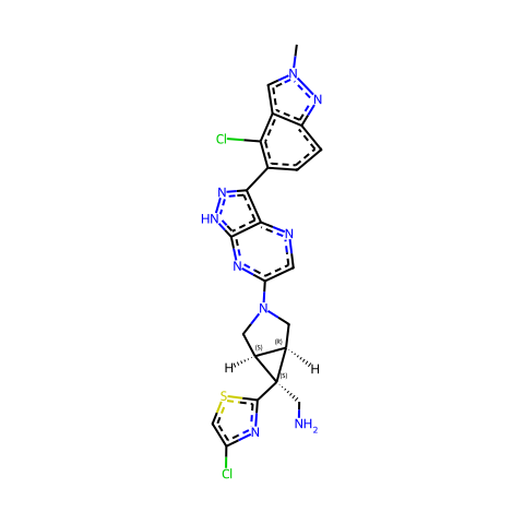 Cn1cc2c(Cl)c(-c3n[nH]c4nc(N5C[C@@H]6[C@H](C5)[C@]6(CN)c5nc(Cl)cs5)cnc34)ccc2n1